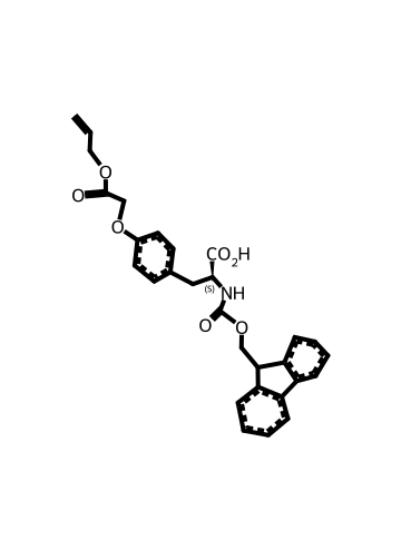 C=CCOC(=O)COc1ccc(C[C@H](NC(=O)OCC2c3ccccc3-c3ccccc32)C(=O)O)cc1